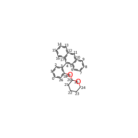 c1ccc(-c2c3ccccc3cc3ccccc23)c(OC2CCCCO2)c1